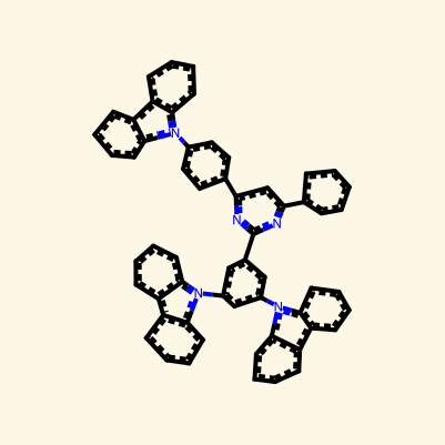 c1ccc(-c2cc(-c3ccc(-n4c5ccccc5c5ccccc54)cc3)nc(-c3cc(-n4c5ccccc5c5ccccc54)cc(-n4c5ccccc5c5ccccc54)c3)n2)cc1